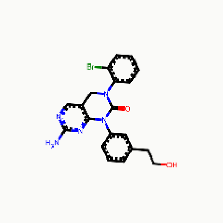 Nc1ncc2c(n1)N(c1cccc(CCO)c1)C(=O)N(c1ccccc1Br)C2